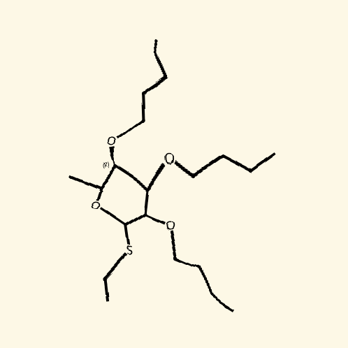 CCCCOC1C(SCC)OC(C)[C@@H](OCCCC)C1OCCCC